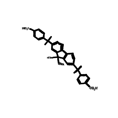 CCCCCCC1(CCCCCC)c2cc(C(C)(C)c3ccc(C(=O)O)cc3)ccc2-c2ccc(C(C)(C)c3ccc(C(=O)O)cc3)cc21